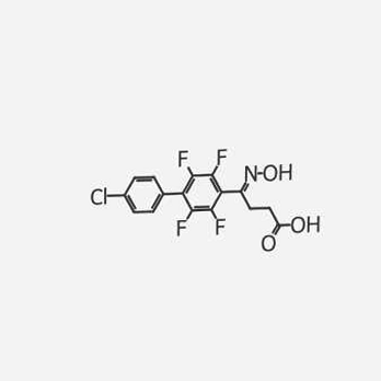 O=C(O)CCC(=NO)c1c(F)c(F)c(-c2ccc(Cl)cc2)c(F)c1F